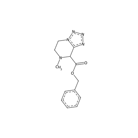 CN1CCn2nnnc2C1C(=O)OCc1ccccc1